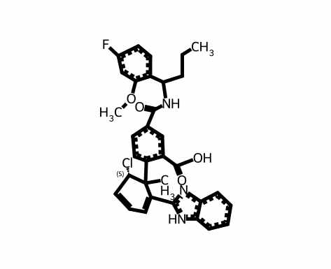 CCCC(NC(=O)c1ccc(C2(C)C(c3nc4ccccc4[nH]3)=CC=C[C@@H]2Cl)c(C(=O)O)c1)c1ccc(F)cc1OC